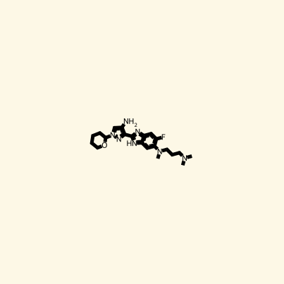 CN(C)CCCN(C)c1cc2[nH]c(-c3nn(C4CCCCO4)cc3N)nc2cc1F